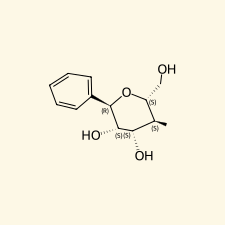 C[C@H]1[C@H](O)[C@H](O)[C@@H](c2ccccc2)O[C@@H]1CO